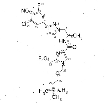 CC(Cn1ccc(-c2cc(F)c(C#N)c(Cl)c2)n1)NC(=O)c1cn(COCC[Si](C)(C)C)c(CC(F)(F)F)n1